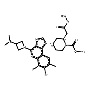 CN(C)C1CN(c2nc3c(F)c(Br)c(I)cc3c3c2ncn3[C@H]2CCN(C(=O)OC(C)(C)C)[C@H](CC(=O)OC(C)(C)C)C2)C1